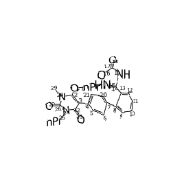 CCCOc1c(-c2ccc(-c3ccccc3C3NOC(=O)N3)cc2)c(=O)n(CCC)c(=O)n1C